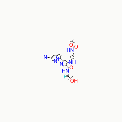 CC(C)(C)OC(=O)NCC1CC(Nc2cc(-c3ccc4cc(C#N)cnn34)ncc2C(=O)NC[C@@H](F)C(C)(C)O)C1